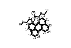 CCCCOC(=O)CCCC.c1cc2cccc3c4cccc5cccc(c(c1)c23)c54